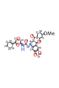 COc1ccc(C(=O)c2cn(CC(=O)NC3=COC=C(C4=CC=CCC4)O3)c3cc4c(cc3c2=O)OCO4)cc1